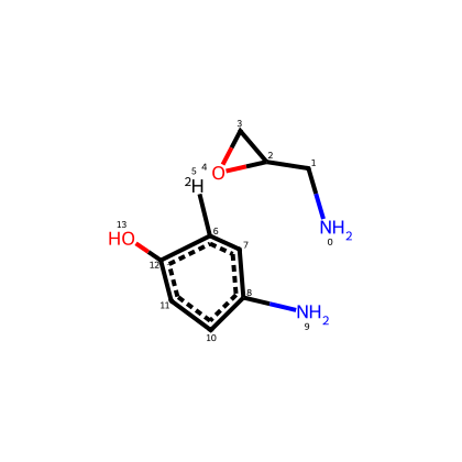 NCC1CO1.[2H]c1cc(N)ccc1O